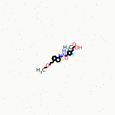 CCCOCCCc1cccc2c1CCc1sc(NC(=O)c3cc(F)c(/C=C(\C)C(=O)O)c(F)c3)nc1-2